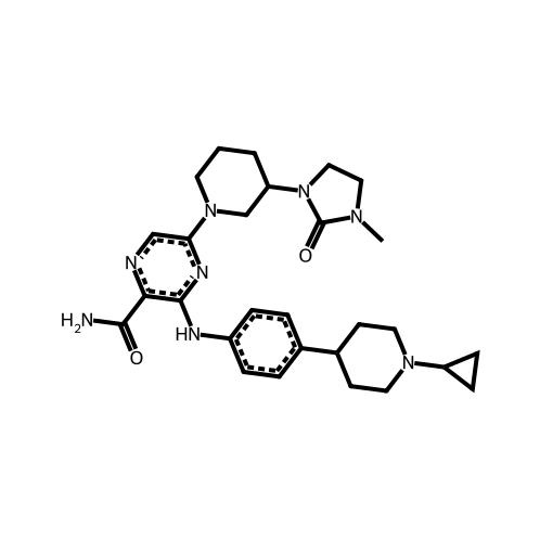 CN1CCN(C2CCCN(c3cnc(C(N)=O)c(Nc4ccc(C5CCN(C6CC6)CC5)cc4)n3)C2)C1=O